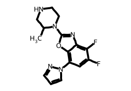 CC1CNCCN1c1nc2c(F)c(F)cc(-n3cccn3)c2o1